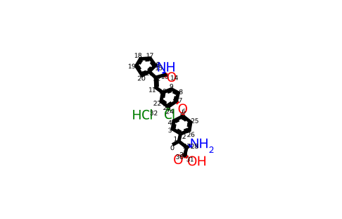 CC(c1ccc(Oc2ccc(C=C3C(=O)Nc4ccccc43)cc2Cl)cc1)C(N)C(=O)O.Cl